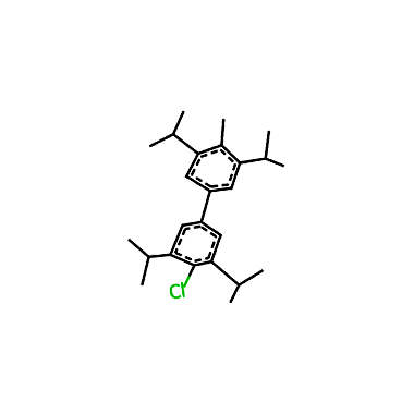 Cc1c(C(C)C)cc(-c2cc(C(C)C)c(Cl)c(C(C)C)c2)cc1C(C)C